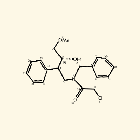 COC[C@H](O)C(CN(Cc1ccccc1)C(=O)CCl)c1ccccc1